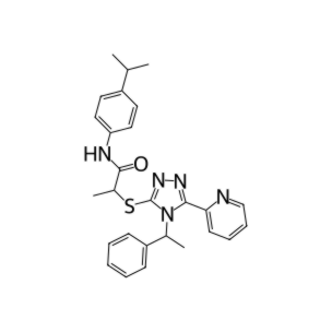 CC(Sc1nnc(-c2ccccn2)n1C(C)c1ccccc1)C(=O)Nc1ccc(C(C)C)cc1